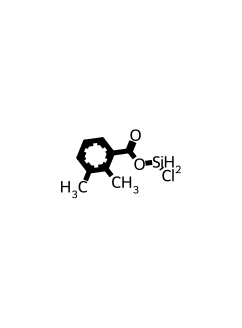 Cc1cccc(C(=O)O[SiH2]Cl)c1C